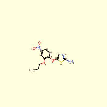 CCCOc1cc([N+](=O)[O-])ccc1Oc1cnc(N)s1